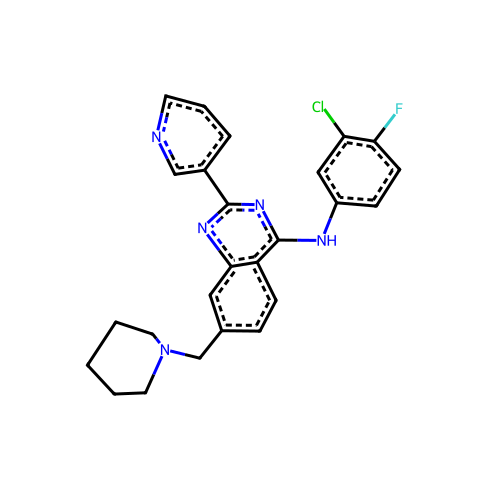 Fc1ccc(Nc2nc(-c3cccnc3)nc3cc(CN4CCCCC4)ccc23)cc1Cl